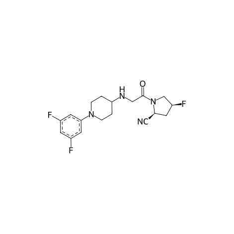 N#C[C@@H]1C[C@H](F)CN1C(=O)CNC1CCN(c2cc(F)cc(F)c2)CC1